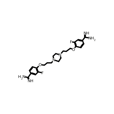 N=C(N)c1ccc(OCCCN2CCN(CCCOc3ccc(C(=N)N)cc3F)CC2)c(F)c1